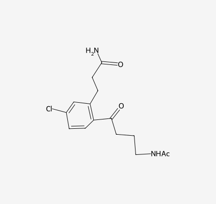 CC(=O)NCCCC(=O)c1ccc(Cl)cc1CCC(N)=O